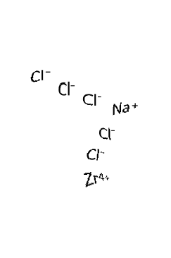 [Cl-].[Cl-].[Cl-].[Cl-].[Cl-].[Na+].[Zr+4]